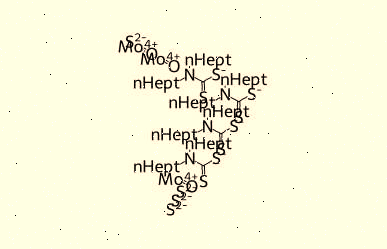 CCCCCCCN(CCCCCCC)C(=S)[S-].CCCCCCCN(CCCCCCC)C(=S)[S-].CCCCCCCN(CCCCCCC)C(=S)[S-].CCCCCCCN(CCCCCCC)C(=S)[S-].[O]=[Mo+4].[O]=[Mo+4].[O]=[Mo+4].[S-2].[S-2].[S-2].[S-2]